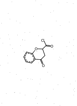 O=C1CC(C(=O)Cl)Oc2ccccc21